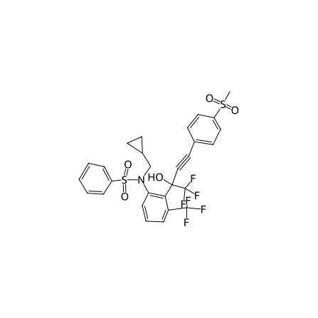 CS(=O)(=O)c1ccc(C#CC(O)(c2c(N(CC3CC3)S(=O)(=O)c3ccccc3)cccc2C(F)(F)F)C(F)(F)F)cc1